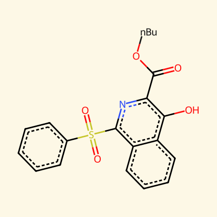 CCCCOC(=O)c1nc(S(=O)(=O)c2ccccc2)c2ccccc2c1O